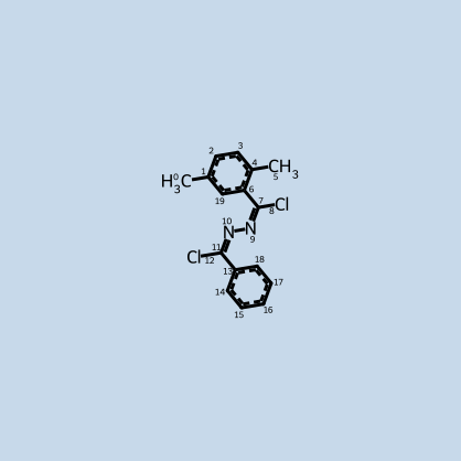 Cc1ccc(C)c(/C(Cl)=N\N=C(\Cl)c2ccccc2)c1